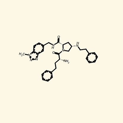 Cn1nnc2cc(CNC(=O)[C@@H]3C[C@H](NCCc4ccccc4)CN3C(=O)[C@H](N)CCc3ccccc3)ccc21